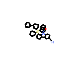 N#Cc1ccc2c(c1)c1cccc(S(c3ccccc3)(c3ccccc3)c3cccc(-c4ccccc4)c3)c1n2-c1ccccc1